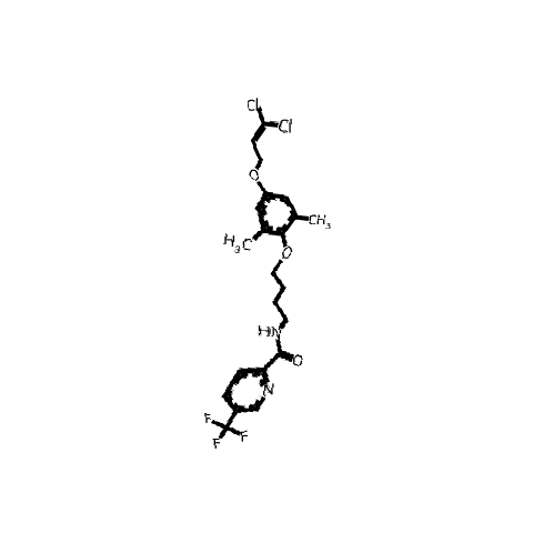 Cc1cc(OCC=C(Cl)Cl)cc(C)c1OCCCCNC(=O)c1ccc(C(F)(F)F)cn1